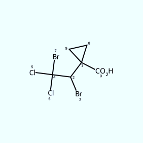 O=C(O)C1(C(Br)C(Cl)(Cl)Br)CC1